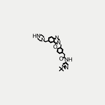 Cc1cc(CC(=O)Nc2cnn(C(C)(C)C)c2)ccc1Oc1ncnc2ccc(CN3CCNCC3)cc12